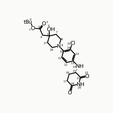 CC(C)(C)OC(=O)CC1(O)CCN(c2ccc(N[C@H]3CCC(=O)NC3=O)cc2Cl)CC1